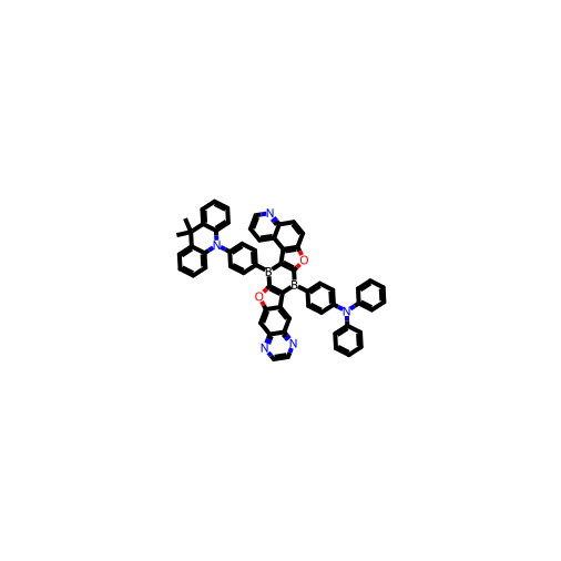 CC1(C)c2ccccc2N(c2ccc(B3c4oc5cc6nccnc6cc5c4B(c4ccc(N(c5ccccc5)c5ccccc5)cc4)c4oc5ccc6ncccc6c5c43)cc2)c2ccccc21